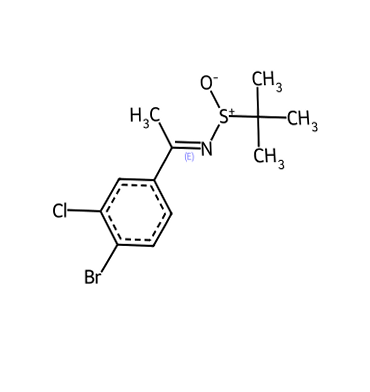 C/C(=N\[S+]([O-])C(C)(C)C)c1ccc(Br)c(Cl)c1